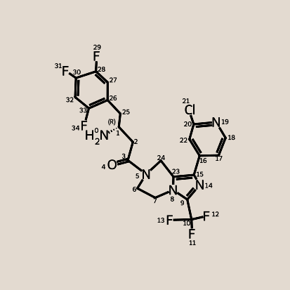 N[C@@H](CC(=O)N1CCn2c(C(F)(F)F)nc(-c3ccnc(Cl)c3)c2C1)Cc1cc(F)c(F)cc1F